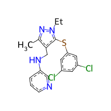 CCn1nc(C)c(CNc2cccnc2)c1Sc1cc(Cl)cc(Cl)c1